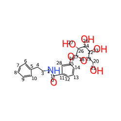 O=C(NCCc1ccccc1)c1cccc(O[C@H]2OC(CO)C(O)C(O)C2O)c1